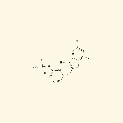 CC(C)(C)OC(=O)N[C@@H](C=O)Cc1oc2c(I)cc(Cl)nc2c1Br